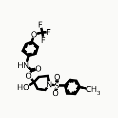 Cc1ccc(S(=O)(=O)N2CCC(O)(OC(=O)Nc3ccc(OC(F)(F)F)cc3)CC2)cc1